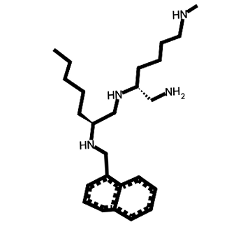 CCCCC[C@@H](CN[C@@H](CN)CCCCNC)NCc1cccc2ccccc12